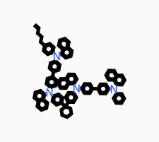 C=CCCCc1ccc(N(c2ccc(-c3ccc(N(c4ccc(C5(c6ccc(N(c7ccc(-c8ccc(N(c9ccccc9)c9cccc%10ccccc9%10)cc8)cc7)c7cccc8ccccc78)cc6)CCCCC5)cc4)c4cccc5ccccc45)cc3)cc2)c2cccc3ccccc23)cc1